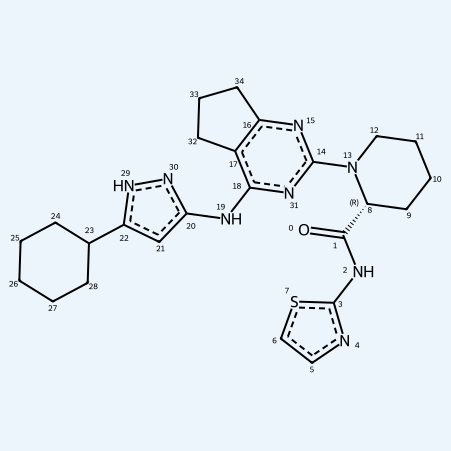 O=C(Nc1nccs1)[C@H]1CCCCN1c1nc2c(c(Nc3cc(C4CCCCC4)[nH]n3)n1)CCC2